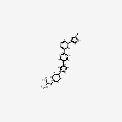 Cn1cc(C2C=CC=C(c3ncc(-c4cnn(C5CCN(CC(O)C(F)(F)F)CC5)c4)cn3)C2)cn1